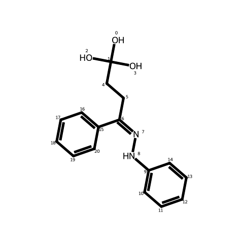 OC(O)(O)CCC(=NNc1ccccc1)c1ccccc1